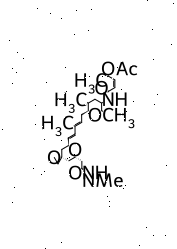 CNNC(=O)C[C@@H]1C[C@@]2(CO2)C[C@@H](/C=C/C(C)=C/C[C@@H]2O[C@H](C)[C@H](NC(=O)/C=C\[C@H](C)OC(C)=O)C[C@@H]2C)O1